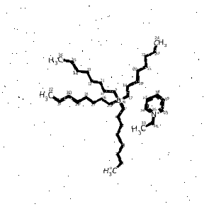 CCCCCCCC[B-](CCCCCCCC)(CCCCCCCC)CCCCCCCC.CC[n+]1ccccc1